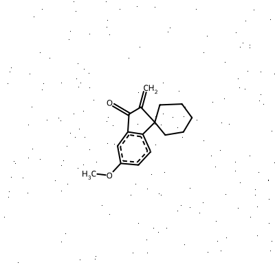 C=C1C(=O)c2cc(OC)ccc2C12CCCCC2